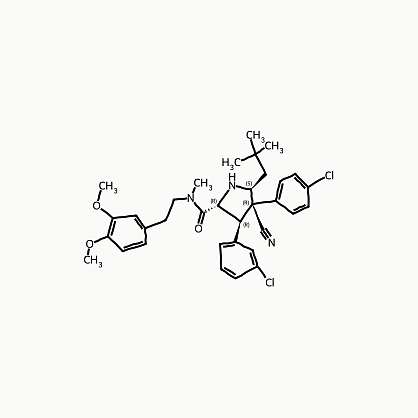 COc1ccc(CCN(C)C(=O)[C@@H]2N[C@@H](CC(C)(C)C)[C@](C#N)(c3ccc(Cl)cc3)[C@H]2c2cccc(Cl)c2)cc1OC